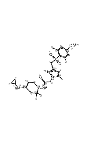 COc1cc(C)c(S(=O)(=O)Cc2cc(C)n(CC(=O)NC3CCC(NC4CC4)CC3(C)C)n2)c(C)c1